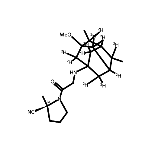 [2H]C1([2H])C2([2H])C([2H])(C)C3([2H])C([2H])([2H])C1(NCC(=O)N1CCC[C@@]1(C)C#N)C([2H])([2H])C(OC)(C2([2H])C)C3([2H])C